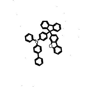 c1ccc(-c2ccc(N(c3ccccc3)c3ccc(C4(c5ccc6c(c5)oc5ccccc56)c5ccccc5-c5ccccc54)cc3)cc2)cc1